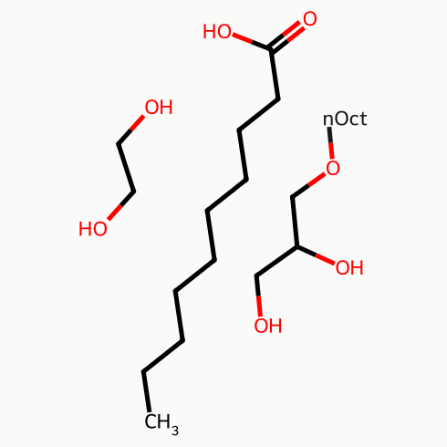 CCCCCCCCCC(=O)O.CCCCCCCCOCC(O)CO.OCCO